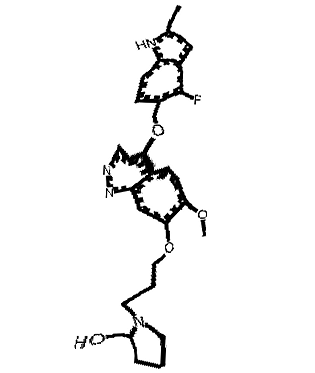 COc1cc2c(Oc3ccc4[nH]c(C)cc4c3F)cnnc2cc1OCCCN1CCCC1O